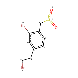 O=[SH](=O)Cc1ccc(CCBr)cc1Br